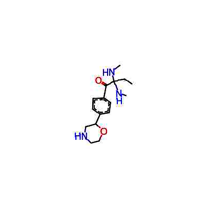 CCC(NC)(NC)C(=O)c1ccc(C2CNCCO2)cc1